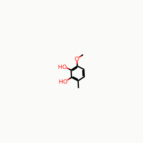 COc1ccc(C)c(O)c1O